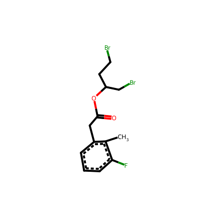 Cc1c(F)cccc1CC(=O)OC(CBr)CCBr